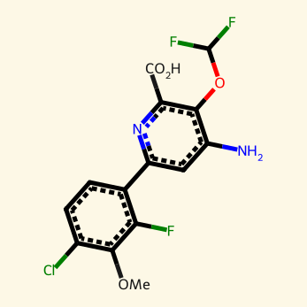 COc1c(Cl)ccc(-c2cc(N)c(OC(F)F)c(C(=O)O)n2)c1F